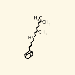 CC(C)=CCC/C(C)=C/CNCC/C=C/C1C2CC3CC(C2)CC1C3